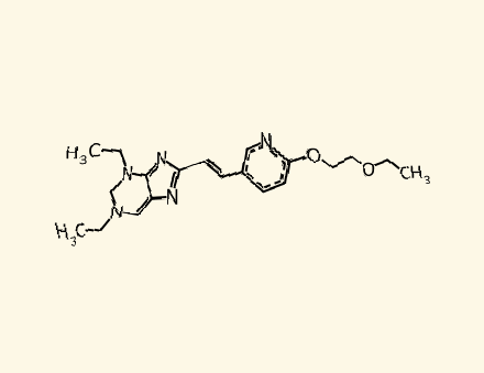 CCOCCOc1ccc(C=CC2=NC3=CN(CC)CN(CC)C3=N2)cn1